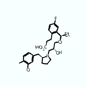 CC[C@@H](OC[C@H](O)CN1CCC[C@H]1Cc1ccc(C)c(Cl)c1)c1cc(F)ccc1CCC(=O)O